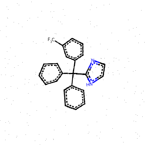 FC(F)(F)c1cccc(C(c2ccccc2)(c2ccccc2)c2ncc[nH]2)c1